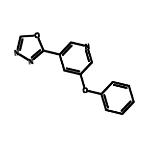 c1ccc(Oc2cncc(-c3nnco3)c2)cc1